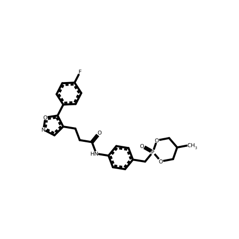 CC1COP(=O)(Cc2ccc(NC(=O)CCc3cnoc3-c3ccc(F)cc3)cc2)OC1